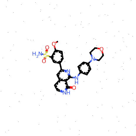 COc1ccc(-c2cc3cc[nH]c(=O)c3c(Nc3ccc(N4CCOCC4)cc3)n2)cc1S(N)(=O)=O